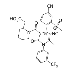 [C-]#[N+]C1=C(C)N(c2cccc(C(F)(F)F)c2)C(=O)N(C(=O)N2CCCCC2CC(=O)O)[C@@H]1c1ccc(C#N)cc1S(C)(=O)=O